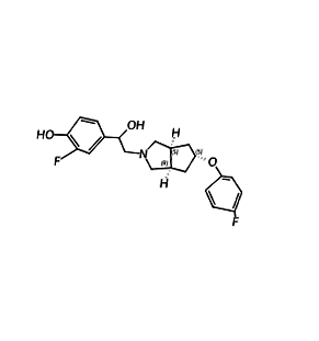 Oc1ccc(C(O)CN2C[C@H]3C[C@H](Oc4ccc(F)cc4)C[C@H]3C2)cc1F